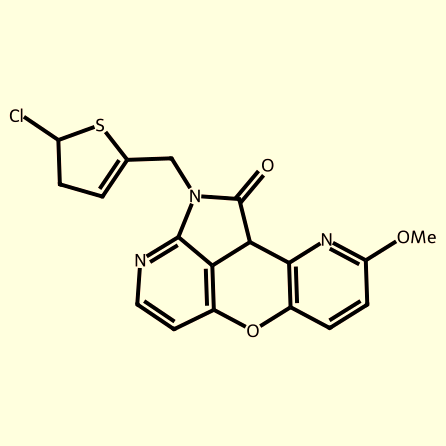 COc1ccc2c(n1)C1C(=O)N(CC3=CCC(Cl)S3)c3nccc(c31)O2